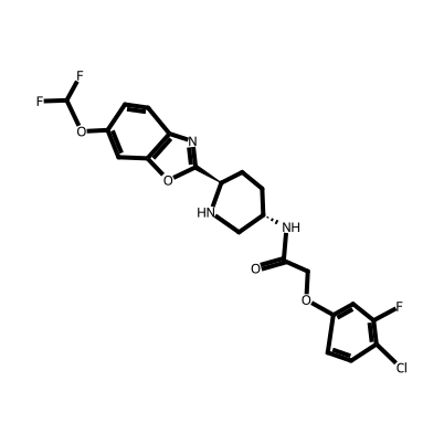 O=C(COc1ccc(Cl)c(F)c1)N[C@H]1CC[C@H](c2nc3ccc(OC(F)F)cc3o2)NC1